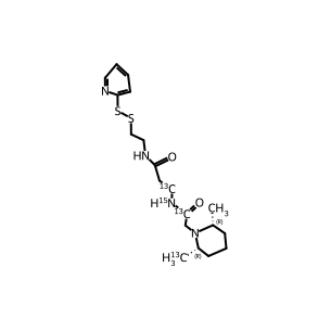 C[C@@H]1CCC[C@H]([13CH3])N1C[13C](=O)[15NH][13CH2]CC(=O)NCCSSc1ccccn1